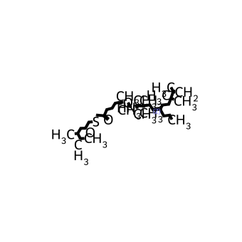 C=C(C)C(C)(C)CC/C(=C\CC(C)(C)C(C)(C)NOC(C)(C)CCCC(=O)CSCC(=O)CC(C)C(C)C)CCC